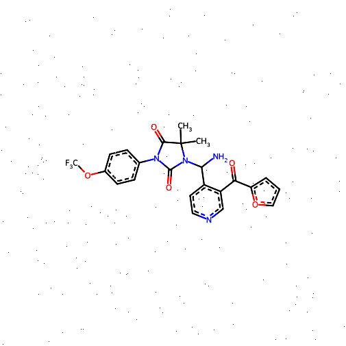 CC1(C)C(=O)N(c2ccc(OC(F)(F)F)cc2)C(=O)N1C(N)c1ccncc1C(=O)c1ccco1